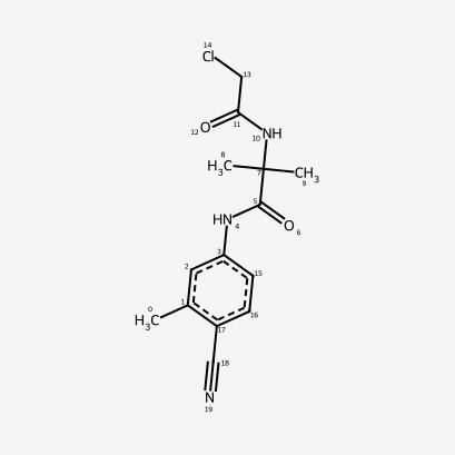 Cc1cc(NC(=O)C(C)(C)NC(=O)CCl)ccc1C#N